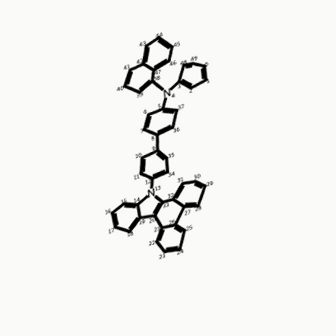 c1ccc(N(c2ccc(-c3ccc(-n4c5ccccc5c5c6ccccc6c6ccccc6c54)cc3)cc2)c2cccc3ccccc23)cc1